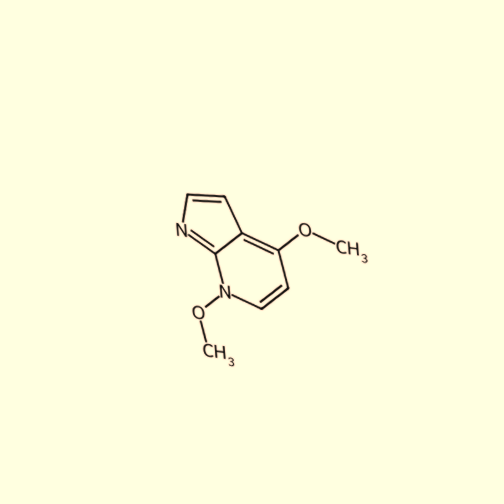 COc1ccn(OC)c2nccc1-2